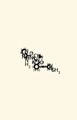 C[C@@H](NC(=O)c1c(N)nn2cccnc12)c1nc2cccc(C#Cc3cnn(C)c3)c2c(=O)n1C1CC1